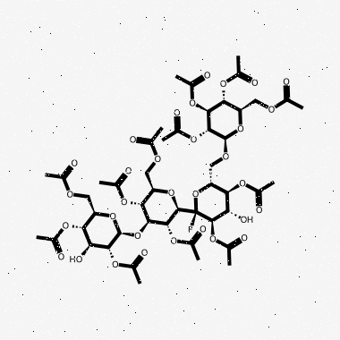 CC(=O)OC[C@H]1O[C@@H](O[C@@H]2[C@@H](OC(C)=O)[C@H]([C@]3(F)O[C@H](CO[C@@H]4O[C@H](COC(C)=O)[C@@H](OC(C)=O)[C@H](OC(C)=O)[C@H]4OC(C)=O)[C@@H](OC(C)=O)[C@H](O)[C@H]3OC(C)=O)O[C@H](COC(C)=O)[C@H]2OC(C)=O)[C@H](OC(C)=O)[C@@H](O)[C@@H]1OC(C)=O